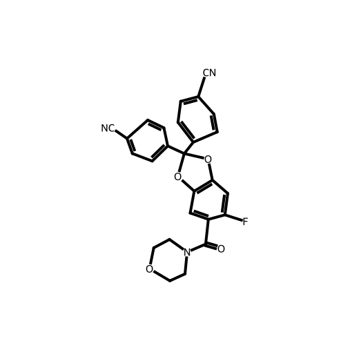 N#Cc1ccc(C2(c3ccc(C#N)cc3)Oc3cc(F)c(C(=O)N4CCOCC4)cc3O2)cc1